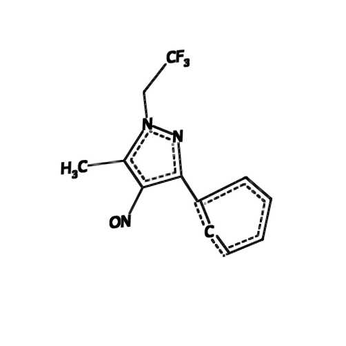 Cc1c(N=O)c(-c2ccccc2)nn1CC(F)(F)F